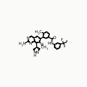 COc1c(-c2cc(C(=O)Nc3cccc(C(F)(F)F)c3)ccc2C)cc2cnc(N)nc2c1-c1cn[nH]c1